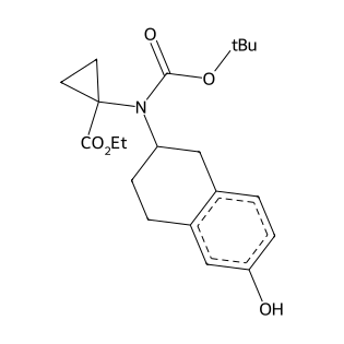 CCOC(=O)C1(N(C(=O)OC(C)(C)C)C2CCc3cc(O)ccc3C2)CC1